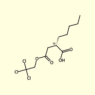 CCCCC[C@@H](CC(=O)OCC(Cl)(Cl)Cl)C(=O)O